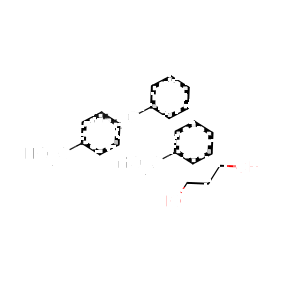 O=C(O)c1ccccc1.O=C(O)c1ccccc1.O=C(O)c1ccccc1.OCCCO